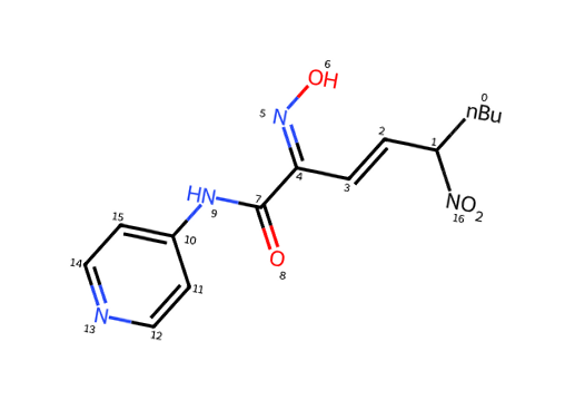 CCCCC(C=CC(=NO)C(=O)Nc1ccncc1)[N+](=O)[O-]